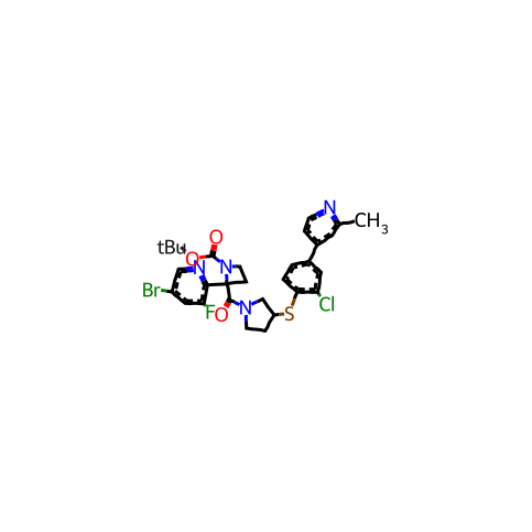 Cc1cc(-c2ccc(SC3CCN(C(=O)C4(c5ncc(Br)cc5F)CCN4C(=O)OC(C)(C)C)C3)c(Cl)c2)ccn1